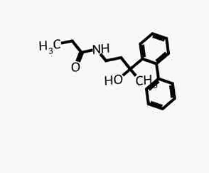 CCC(=O)NCCC(C)(O)c1ccccc1-c1ccccc1